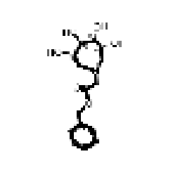 O=C(CN1C[C@@H](O)[C@@H](O)[C@H](O)[C@H](O)C1)OCc1ccccc1